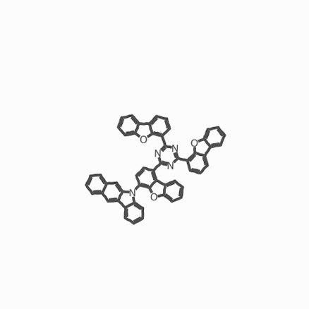 c1ccc2cc3c(cc2c1)c1ccccc1n3-c1ccc(-c2nc(-c3cccc4c3oc3ccccc34)nc(-c3cccc4c3oc3ccccc34)n2)c2c1oc1ccccc12